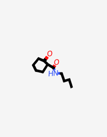 CCCCNC(=O)C1CCCCC1=O